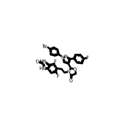 O=C1COC(c2cn(-c3ccc(Br)cc3)nc2-c2ccc(F)cc2)N1CCc1c(F)cc2[nH]c(=O)[nH]c2c1F